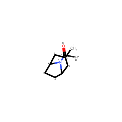 CC1CC2CCC(C1)N2C(=O)C(C)C